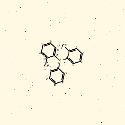 Cc1ccccc1[S+](c1ccccc1)c1ccccc1C